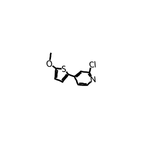 COc1ccc(-c2ccnc(Cl)c2)s1